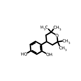 CC1(C)CC(c2ccc(O)cc2O)CC(C)(C)O1